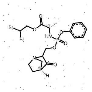 CCC(CC)COC(=O)[C@H](C)NP(=O)(OCC1C(=O)[C@H]2CCN1C2)Oc1ccccc1